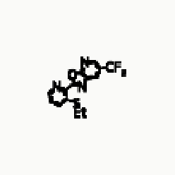 CCSc1cccnc1-c1nc2cc(C(F)(F)F)cnc2o1